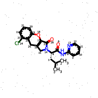 CC(C)C[C@@H](C(=O)Nc1ccccn1)N1CC2=C(Oc3cccc(Cl)c3C2)C1=O